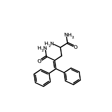 NC(=O)C(CC(N)C(N)=O)=C(c1ccccc1)c1ccccc1